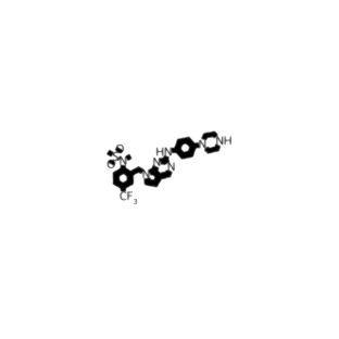 CN(c1ccc(C(F)(F)F)cc1Cn1ccc2cnc(Nc3ccc(N4CCNCC4)cc3)nc21)S(C)(=O)=O